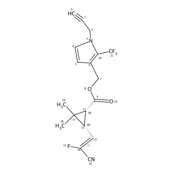 C#CCn1ccc(COC(=O)[C@@H]2[C@H](/C=C(\F)C#N)C2(C)C)c1C(F)(F)F